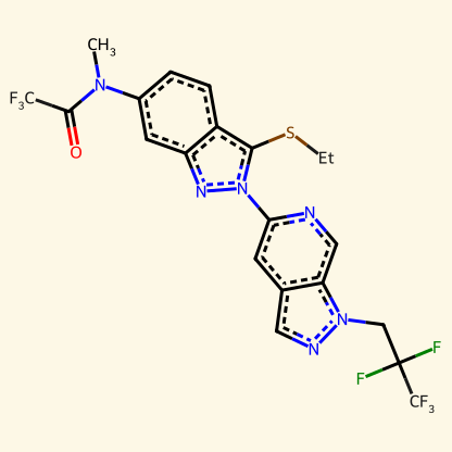 CCSc1c2ccc(N(C)C(=O)C(F)(F)F)cc2nn1-c1cc2cnn(CC(F)(F)C(F)(F)F)c2cn1